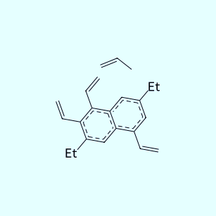 C=CC.C=Cc1c(CC)cc2c(C=C)cc(CC)cc2c1C=C